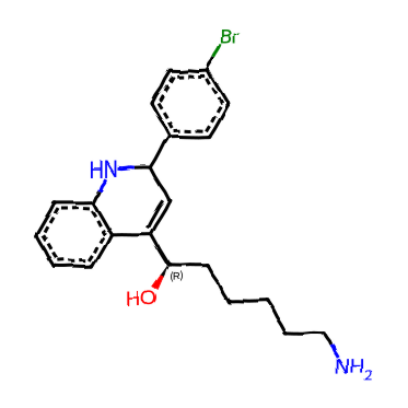 NCCCCC[C@@H](O)C1=CC(c2ccc(Br)cc2)Nc2ccccc21